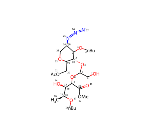 CCCCOC1[C@H](OC(CO)OC(C(=O)OC)[C@H](O)[C@H](C)OCCCC)C(COC(C)=O)OC[C@H]1N=[N+]=[N-]